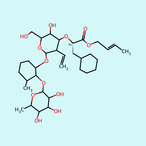 C=CC1C(OC2CCCC(C)C2OC2OC(C)C(O)C(O)C2O)OC(CO)C(O)C1O[C@@H](CC1CCCCC1)C(=O)OCC=CC